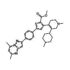 COC(=O)c1sc(-c2ccc(-c3cc4nc(C)cc(C)n4n3)cc2)cc1C1=C(C2CCC(C)CC2)CN(C)CC1